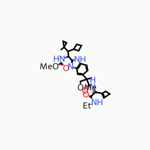 CCNC(=O)[C@H](NC(=O)C(C)(COC)c1ccc2[nH]c(C(NC(=O)OC)C(C3CCC3)C3(C)CC3)nc2c1)C1=CCC1